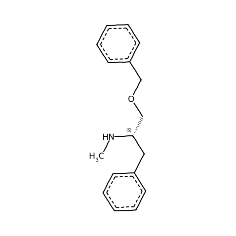 CN[C@H](COCc1ccccc1)Cc1ccccc1